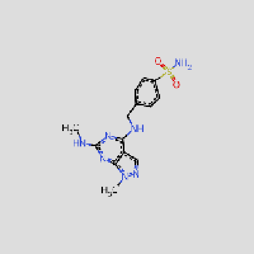 CNc1nc(NCc2ccc(S(N)(=O)=O)cc2)c2cnn(C)c2n1